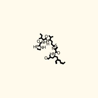 C=C/C(=C\C=C/C)CC(CC(C)C=O)NC(=O)c1csc(CCC(NC(=O)C(NC(=O)C2NCCP2)C(C)CC)C(C)C)n1